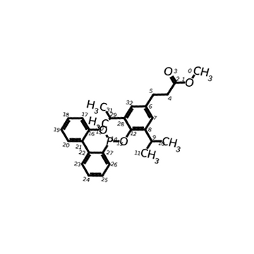 COC(=O)CCc1cc(C(C)C)c(OP2Oc3ccccc3-c3ccccc32)c(C(C)C)c1